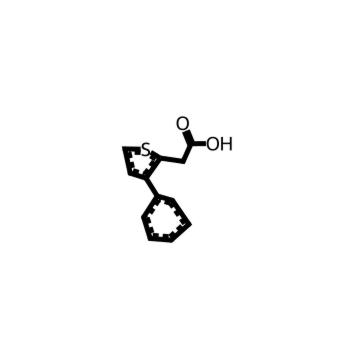 O=C(O)Cc1sccc1-c1ccccc1